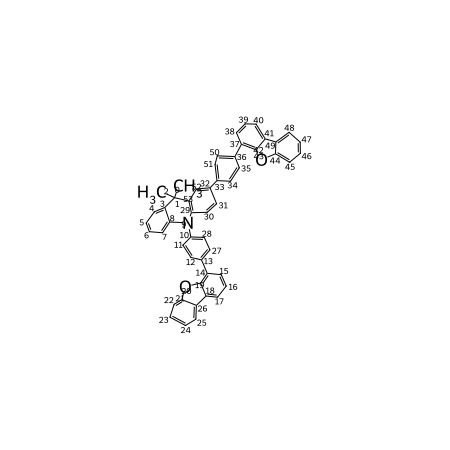 CC1(C)c2ccccc2N(c2ccc(-c3cccc4c3oc3ccccc34)cc2)c2ccc(-c3ccc(-c4cccc5c4oc4ccccc45)cc3)cc21